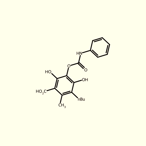 CCCCc1c(C)c(C(=O)O)c(O)c(OC(=O)Nc2ccccc2)c1O